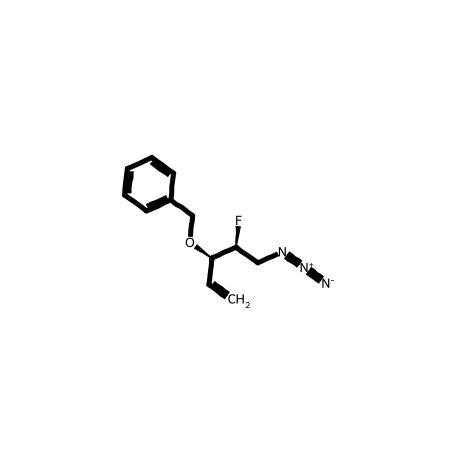 C=C[C@@H](OCc1ccccc1)[C@@H](F)CN=[N+]=[N-]